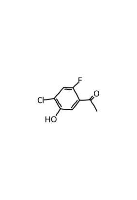 CC(=O)c1cc(O)c(Cl)cc1F